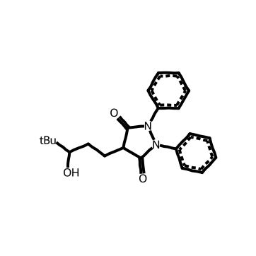 CC(C)(C)C(O)CCC1C(=O)N(c2ccccc2)N(c2ccccc2)C1=O